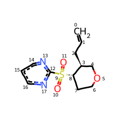 C=CC[C@H]1COCC[C@@H]1S(=O)(=O)c1ncccn1